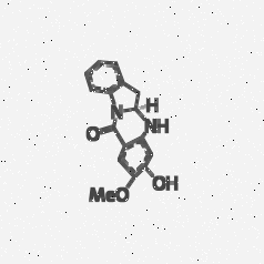 COc1cc2c(cc1O)N[C@@H]1Cc3ccccc3N1C2=O